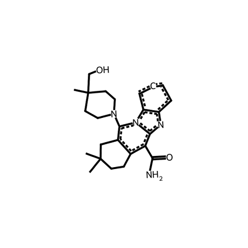 CC1(C)CCc2c(c(N3CCC(C)(CO)CC3)n3c(nc4ccccc43)c2C(N)=O)C1